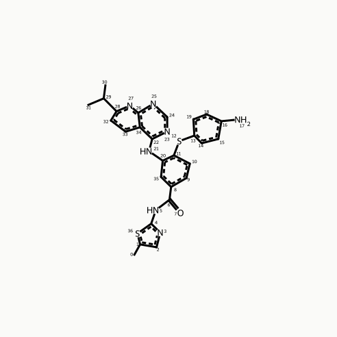 Cc1cnc(NC(=O)c2ccc(Sc3ccc(N)cc3)c(Nc3ncnc4nc(C(C)C)ccc34)c2)s1